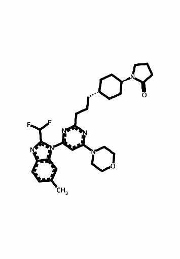 Cc1ccc2nc(C(F)F)n(-c3cc(N4CCOCC4)nc(CCC[C@H]4CC[C@H](N5CCCC5=O)CC4)n3)c2c1